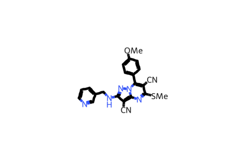 COc1ccc(-c2c(C#N)c(SC)nc3c(C#N)c(NCc4cccnc4)nn23)cc1